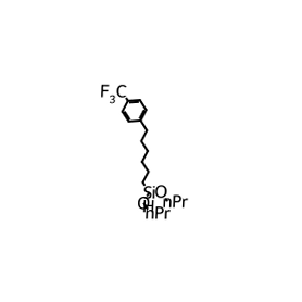 CCCO[SiH](CCCCCCc1ccc(C(F)(F)F)cc1)OCCC